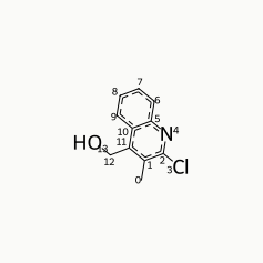 Cc1c(Cl)nc2ccccc2c1CO